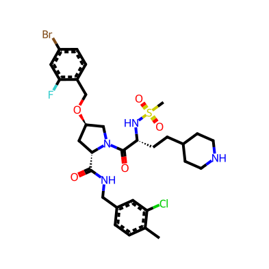 Cc1ccc(CNC(=O)[C@@H]2C[C@@H](OCc3ccc(Br)cc3F)CN2C(=O)[C@@H](CCC2CCNCC2)NS(C)(=O)=O)cc1Cl